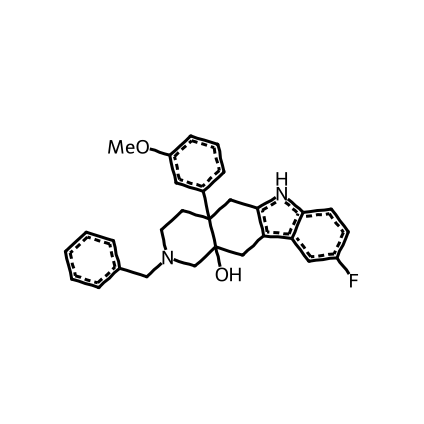 COc1cccc(C23CCN(Cc4ccccc4)CC2(O)Cc2c([nH]c4ccc(F)cc24)C3)c1